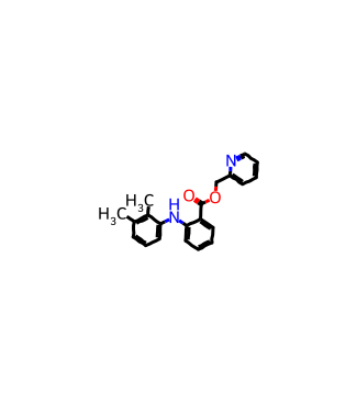 Cc1cccc(Nc2ccccc2C(=O)OCc2ccccn2)c1C